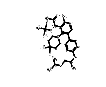 Cc1ncc(-c2ccc(OC(C)COC(C)C)nc2)c(N2CCC(C)(C)CC2)c1[C@H](OC(C)(C)C)C(=O)O